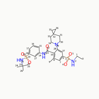 CCNS(=O)(=O)c1cc(C)c(C(=O)Nc2cccc(S(=O)(=O)NC(C)(C)C)c2)c(N2CCC3(CC2)CC3)c1